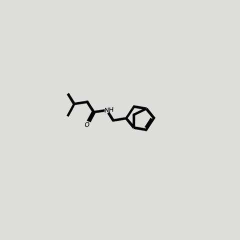 CC(C)CC(=O)NCC1CC2C=CC1C2